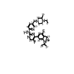 CCN1CCN(Cc2ccc(Nc3ncc(F)c(-c4cc(F)c5cnn(C(C)C)c5c4)n3)nc2)CC1C